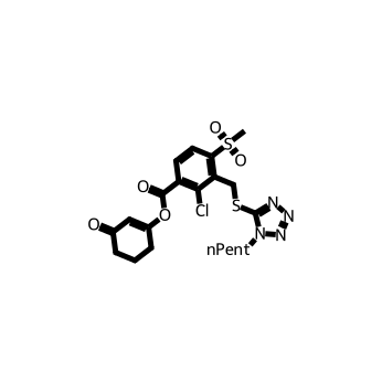 CCCCCn1nnnc1SCc1c(S(C)(=O)=O)ccc(C(=O)OC2=CC(=O)CCC2)c1Cl